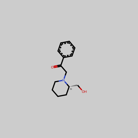 O=C(CN1CCCC[C@H]1CO)c1ccccc1